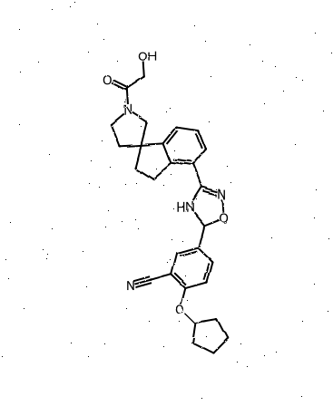 N#Cc1cc(C2NC(c3cccc4c3CCC43CCN(C(=O)CO)C3)=NO2)ccc1OC1CCCC1